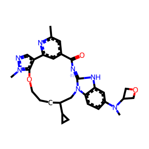 Cc1cc2cc(n1)-c1cnn(C)c1OCCCC(C1CC1)CN1/C(=N/C2=O)Nc2cc(N(C)C3COC3)ccc21